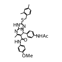 COc1ccc(NC(=O)C2=C(C)N=C3NC(SCc4ccc(C)cc4C)=NN3C2c2ccc(NC(C)=O)cc2)cc1